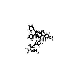 COc1ccc(-c2c(Nc3ccn(COC(=O)[C@@H](N)C(C)C)n3)[nH]c3c(-c4ccccc4)c(-c4ccccc4)nn3c2=O)cc1